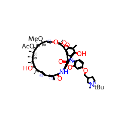 CO[C@H]1/C=C/O[C@@]2(C)Oc3c(C)c(O)c4c(=O)c(c5oc6cc(OCC7CC[N+](C)(C(C)(C)C)C7)ccc6nc-5c4c3C2=O)NC(=O)/C(C)=C\C=C\[C@H](C)[C@H](O)[C@@H](C)[C@@H](C)[C@@H](C)[C@H](OC(C)=O)[C@@H]1C